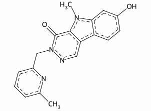 Cc1cccc(Cn2ncc3c4ccc(O)cc4n(C)c3c2=O)n1